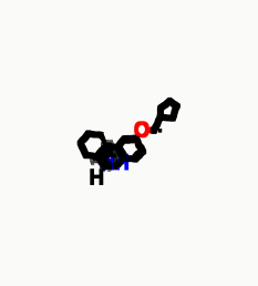 [CH](Oc1ccc2c(c1)[C@@]13CCCC[C@H]1[C@@H](C2)NCC3)C1CCCC1